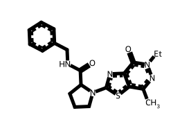 CCn1nc(C)c2sc(N3CCCC3C(=O)NCc3ccccc3)nc2c1=O